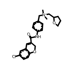 C[N+](C)(Cc1ccc(NC(=O)C2=Cc3cc(Cl)ccc3OC2)cc1)CC1CCCO1